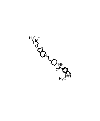 Cn1ncc2ccc(C(=O)N[C@H]3CC[C@H](CCN4CCc5sc(OCC(C)(F)F)nc5C4)CC3)cc21